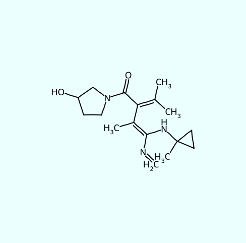 C=N/C(NC1(C)CC1)=C(\C)C(C(=O)N1CCC(O)C1)=C(C)C